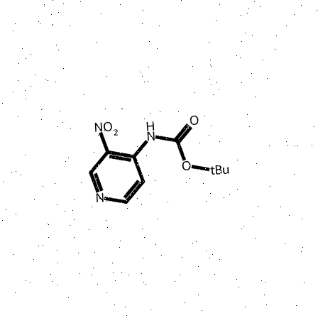 CC(C)(C)OC(=O)Nc1ccncc1[N+](=O)[O-]